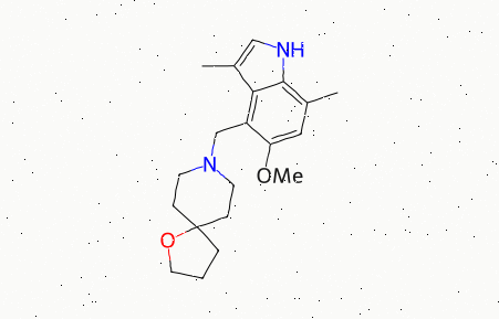 COc1cc(C)c2[nH]cc(C)c2c1CN1CCC2(CCCO2)CC1